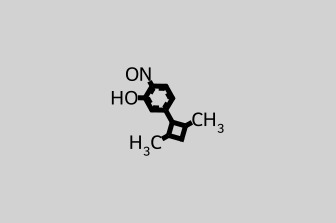 CC1CC(C)C1c1ccc(N=O)c(O)c1